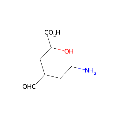 NCCC(C=O)CC(O)C(=O)O